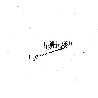 CCCCCCCCCCCCCCCCCc1ccc(S(=O)(=O)O)cc1.CN(C)C.N